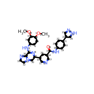 COc1ccc(Nc2nc(-c3cncc(C(=O)Nc4ccc(-c5cn[nH]c5)cc4)c3)cn3ccnc23)cc1OC